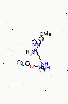 COc1ccc(CN(CCN(C)CCCCCCNC(=N)N(C#N)CCCOc2cccc(CN3CCCCC3)c2)c2ccccn2)cc1